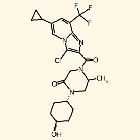 CC1CN([C@H]2CC[C@H](O)CC2)C(=O)CN1C(=O)c1nc2c(C(F)(F)F)cc(C3CC3)cn2c1Cl